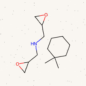 C(NCC1CO1)C1CO1.CC1(C)CCCCC1